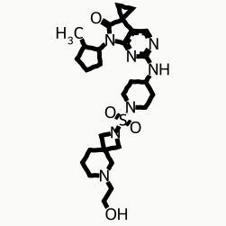 CC1CCCC1N1C(=O)C2(CC2)c2cnc(NC3CCN(S(=O)(=O)N4CC5(CCCN(CCO)C5)C4)CC3)nc21